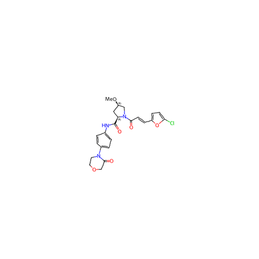 CO[C@@H]1C[C@H](C(=O)Nc2ccc(N3CCOCC3=O)cc2)N(C(=O)C=Cc2ccc(Cl)o2)C1